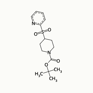 CC(C)(C)OC(=O)N1CCC(S(=O)(=O)c2ccccn2)CC1